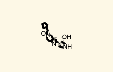 O=C(CC1CCCC1)N1CCc2nc(N3CCNC[C@H]3CO)sc2C1